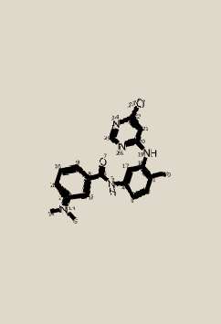 Cc1ccc(NC(=O)c2cccc(N(C)C)c2)cc1Nc1cc(Cl)ncn1